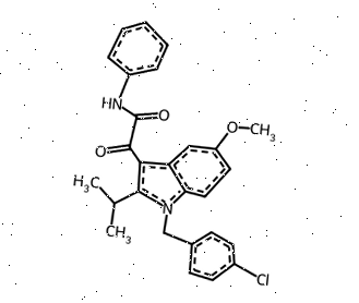 COc1ccc2c(c1)c(C(=O)C(=O)Nc1ccccc1)c(C(C)C)n2Cc1ccc(Cl)cc1